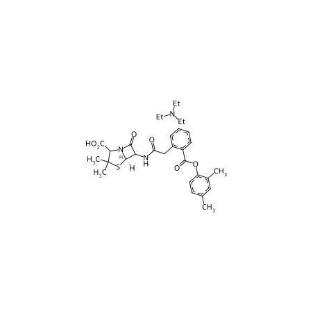 CCN(CC)CC.Cc1ccc(OC(=O)c2ccccc2CC(=O)NC2C(=O)N3C(C(=O)O)C(C)(C)S[C@H]23)c(C)c1